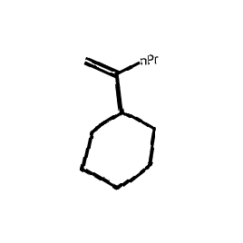 C=C(CCC)C1CCCCC1